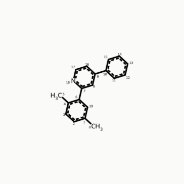 Cc1ccc(C)c(-c2cc(-c3ccccc3)ccn2)c1